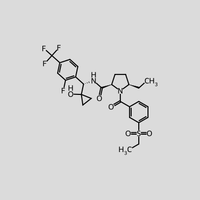 CC[C@@H]1CC[C@H](C(=O)N[C@@H](c2ccc(C(F)(F)F)cc2F)C2(O)CC2)N1C(=O)c1cccc(S(=O)(=O)CC)c1